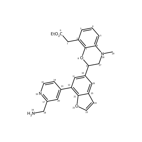 CCOC(=O)Cc1cccc2c1OC(c1cc(-c3ccnc(CN)c3)c3occc3c1)CN2C